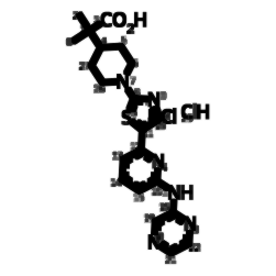 CC(C)(C(=O)O)C1CCN(c2ncc(-c3cccc(Nc4cnccn4)n3)s2)CC1.Cl.Cl